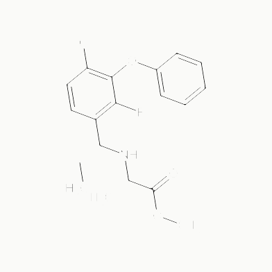 CC[C@@H](N[C@@H](C)C(=O)OC)c1ccc(Cl)c(Oc2ccccc2)c1F